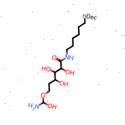 CCCCCCCCCCCCCCCCNC(=O)C(O)C(O)C(O)CCOC(N)O